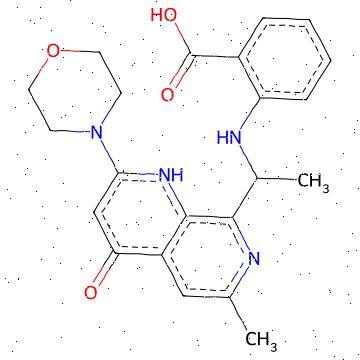 Cc1cc2c(=O)cc(N3CCOCC3)[nH]c2c(C(C)Nc2ccccc2C(=O)O)n1